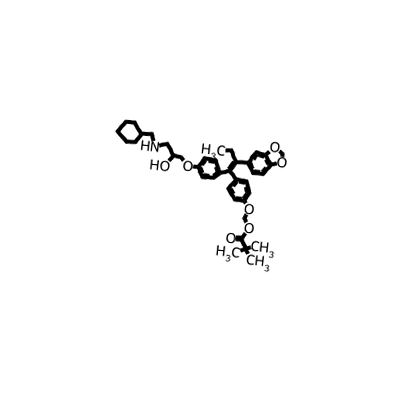 CCC(=C(c1ccc(OCOC(=O)C(C)(C)C)cc1)c1ccc(OCC(O)CNCC2CCCCC2)cc1)c1ccc2c(c1)OCO2